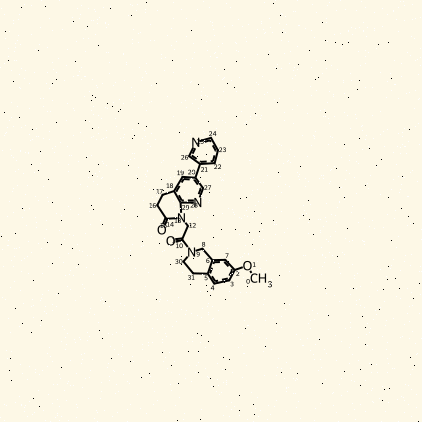 COc1ccc2c(c1)CN(C(=O)CN1C(=O)CCc3cc(-c4cccnc4)cnc31)CC2